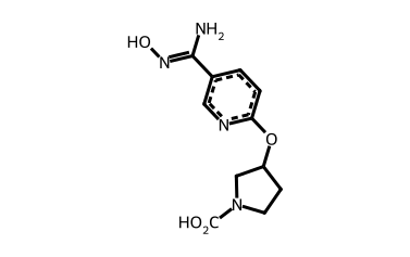 NC(=NO)c1ccc(OC2CCN(C(=O)O)C2)nc1